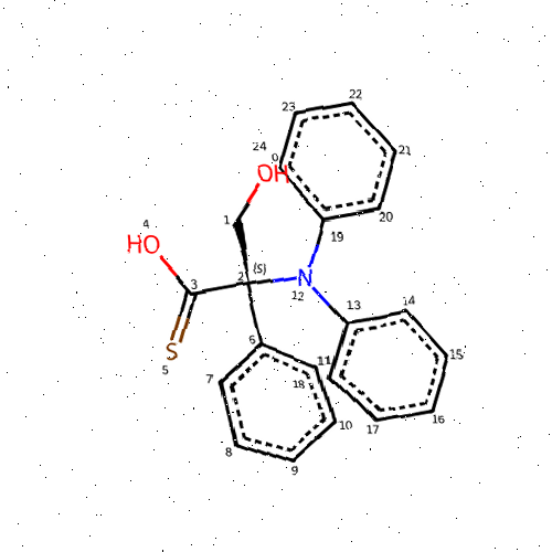 OC[C@](C(O)=S)(c1ccccc1)N(c1ccccc1)c1ccccc1